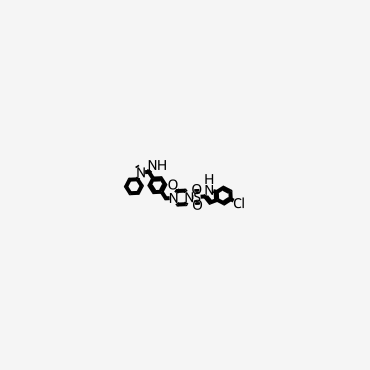 CN(C(=N)c1ccc(CN2CCN(S(=O)(=O)c3cc4cc(Cl)ccc4[nH]3)CC2=O)cc1)C1CCCCC1